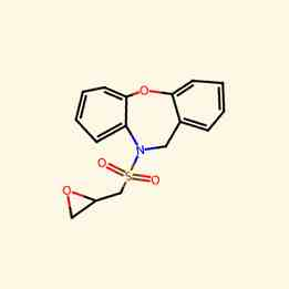 O=S(=O)(CC1CO1)N1Cc2ccccc2Oc2ccccc21